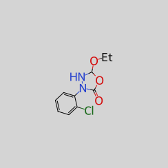 CCOC1NN(c2ccccc2Cl)C(=O)O1